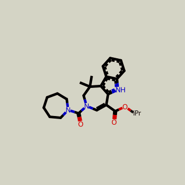 CC(C)OC(=O)C1=CN(C(=O)N2CCCCCC2)CC(C)(C)c2c1[nH]c1ccccc21